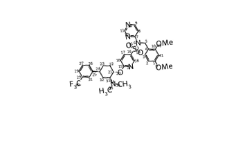 COc1ccc(CN(c2ccncn2)S(=O)(=O)c2ccc(O[C@H]3CC[C@H](c4cccc(C(F)(F)F)c4)C[C@@H]3N(C)C)nc2)c(OC)c1